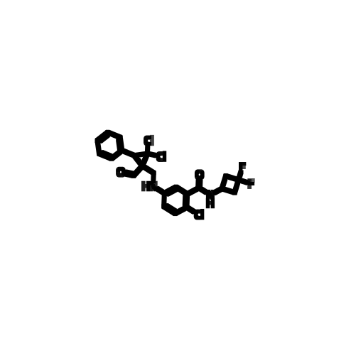 O=CC1(CNc2ccc(Cl)c(C(=O)NC3CC(F)(F)C3)c2)C(c2ccccc2)C1(Cl)Cl